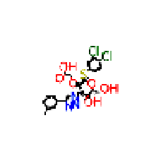 Cc1cccc(-c2cn([C@H]3[C@@H](O)[C@@H](CO)O[C@H](Sc4ccc(Cl)c(Cl)c4)[C@@H]3OCC(=O)O)nn2)c1